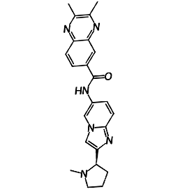 Cc1nc2ccc(C(=O)Nc3ccc4nc([C@H]5CCCN5C)cn4c3)cc2nc1C